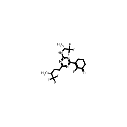 C[C@@H](CCc1nc(N[C@H](C)C(F)(F)F)nc(C2=C(F)C(=O)CCC2)n1)C(F)(F)F